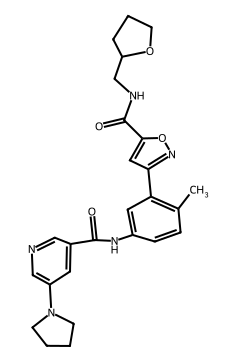 Cc1ccc(NC(=O)c2cncc(N3CCCC3)c2)cc1-c1cc(C(=O)NCC2CCCO2)on1